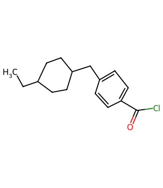 CCC1CCC(Cc2ccc(C(=O)Cl)cc2)CC1